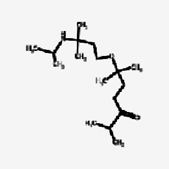 CC(C)NC(C)(C)CCOC(C)(C)CCC(=O)C(C)C